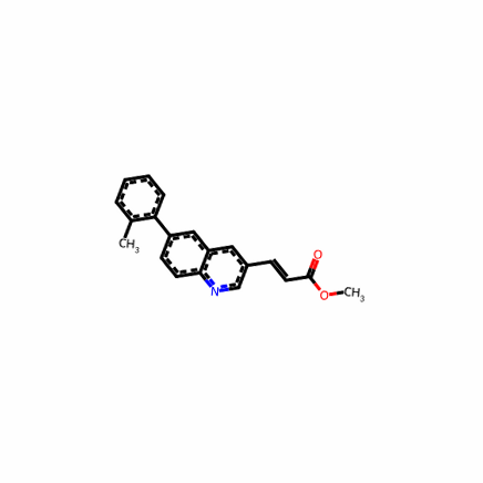 COC(=O)C=Cc1cnc2ccc(-c3ccccc3C)cc2c1